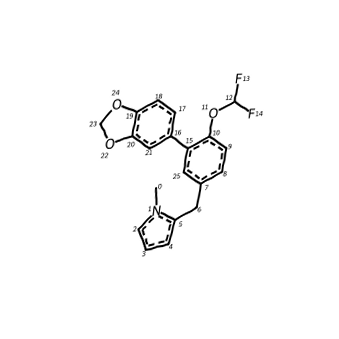 Cn1cccc1Cc1ccc(OC(F)F)c(-c2ccc3c(c2)OCO3)c1